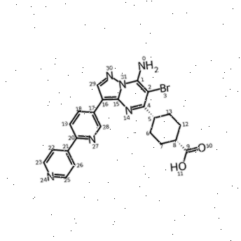 Nc1c(Br)c([C@H]2CC[C@@H](C(=O)O)CC2)nc2c(-c3ccc(-c4ccncc4)nc3)cnn12